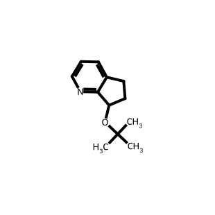 CC(C)(C)OC1CCc2cccnc21